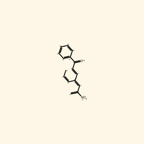 C=C(/C=C(\C=C/C)/C=C/C(=O)c1ccccc1)[N+](=O)[O-]